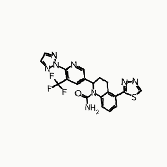 NC(=O)N1c2cccc(-c3nncs3)c2CCC1c1cnc(-n2nccn2)c(C(F)(F)F)c1